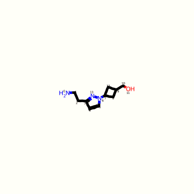 NCCc1ccn(C2CC(CO)C2)n1